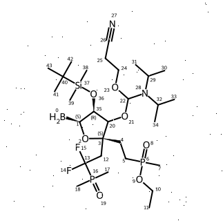 B[C@@H]1O[C@@](CCP(C)(=O)OCC)(CC(F)(F)P(C)(C)=O)C(OC(OCCC#N)N(C(C)C)C(C)C)[C@@H]1O[Si](C)(C)C(C)(C)C